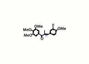 COc1ccc(/C=C(\C)C(=O)c2cc(OC)c(OC)c(OC)c2)cc1F